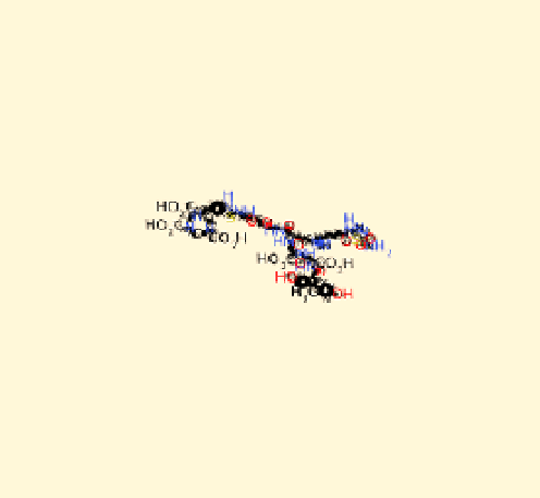 CC(CCC(=O)N[C@@H](CC(=O)N[C@@H](CC(=O)N[C@@H](CCCCn1cc(CCCC(=O)Nc2nnc(S(N)(=O)=O)s2)nn1)C(=O)NCCOCCOCCNC(=S)Nc1ccc(CC2CCN(CC(=O)O)CCCN(CC(=O)O)CCN2CC(=O)O)cc1)C(=O)O)C(=O)O)(c1ccc(O)cc1)c1ccc(O)cc1